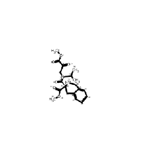 COC(=O)C(=O)CN(C(=O)[C@]1(C(=O)OC)Cc2ccccc2CN1)C(C)C